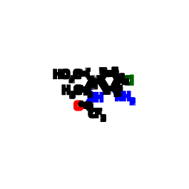 CC(NC(=O)C(F)(F)F)[C@H](CC(=O)O)c1ccc(Cl)c(N)c1